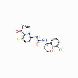 COC(=O)c1nc(NC(=O)N[C@H]2CCOc3c(Cl)cccc32)ccc1F